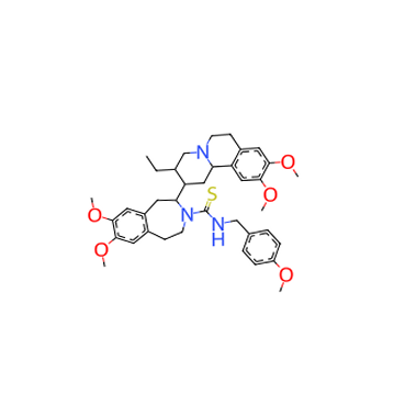 CCC1CN2CCc3cc(OC)c(OC)cc3C2CC1C1Cc2cc(OC)c(OC)cc2CCN1C(=S)NCc1ccc(OC)cc1